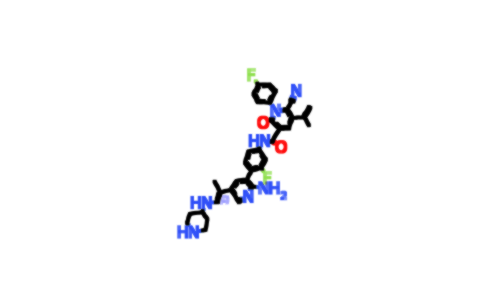 C=C(C)c1cc(C(=O)Nc2ccc(-c3cc(/C(C)=C/NC4CCNCC4)cnc3N)c(F)c2)c(=O)n(-c2ccc(F)cc2)c1C#N